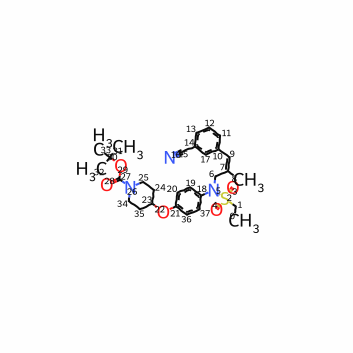 CCS(=O)(=O)N(CC(C)=Cc1cccc(C#N)c1)c1ccc(OC2CCN(C(=O)OC(C)(C)C)CC2)cc1